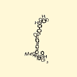 COc1cc(N2CCC(N3CCN(C(=O)CN4CCC(c5ccc(NC6CCC(=O)NC6=O)cc5)CC4)CC3)CC2)ccc1Nc1ncc(C(F)(F)F)c(Nc2ccccc2)n1